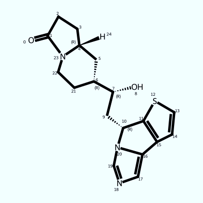 O=C1CC[C@@H]2C[C@H]([C@H](O)C[C@@H]3c4sccc4-c4cncn43)CCN12